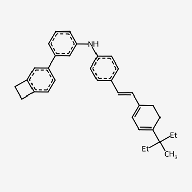 CCC(C)(CC)C1=CC=C(/C=C/c2ccc(Nc3cccc(-c4ccc5c(c4)CC5)c3)cc2)CC1